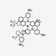 Cc1cc2c3c(c1)N(c1ccc(C(C)(C)C)cc1-c1ccccc1)c1cc4c(cc1B3c1cc(N3c5ccc(N)cc5C5(C)CCCC35C)ccc1N2c1ccc(C(C)(C)C)cc1-c1ccccc1)CC(C)(C)C4